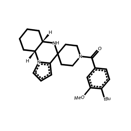 COc1cc(C(=O)N2CCC3(CC2)N[C@H]2CCCC[C@H]2n2cccc23)ccc1C(C)(C)C